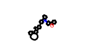 CC1(C)c2cc(-c3ccc4c5ccccc5n(-c5ccc6oc7ccccc7c6c5)c4c3)ccc2-c2cc3c(cc21)-c1ccccc1CCCCCCC3